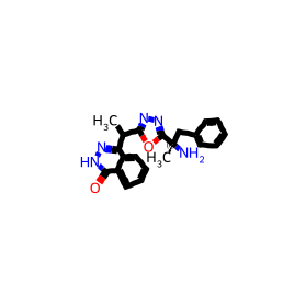 CC(c1nnc([C@](C)(N)Cc2ccccc2)o1)c1n[nH]c(=O)c2ccccc12